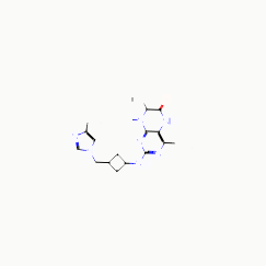 Cc1nc(NC2CC(Cn3cnc(C(F)(F)F)c3)C2)nc2c1NC(=O)C(C(C)C)N2C